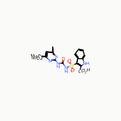 COc1cc(C)nc(NC(=O)NS(=O)(=O)c2c(C(=O)O)[nH]c3ccccc23)n1